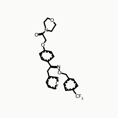 O=C(COc1ccc(C(Cc2ccccc2)=NOCc2ccc(C(F)(F)F)cc2)cc1)N1CCOCC1